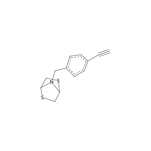 C#Cc1ccc(CN2C3CSC2CS3)cc1